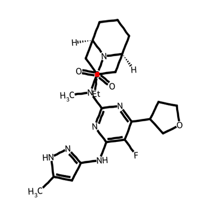 CCS(=O)(=O)N1[C@@H]2CCC[C@H]1CC(N(C)c1nc(Nc3cc(C)[nH]n3)c(F)c(C3CCOC3)n1)C2